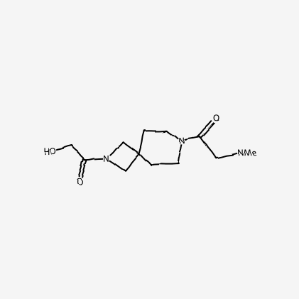 CNCC(=O)N1CCC2(CC1)CN(C(=O)CO)C2